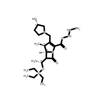 BNPOC(=O)C1=C(CN2CC[C@H](O)C2)[C@H](C)[C@@H]2C([C@@H](C)O[Si](CC)(CC)CC)C(=O)N12